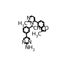 Cc1coc2ccc(C3=CC=NC(C)N3[C@@H](C)c3cccc(-c4cnc(N)nc4)c3)cc12